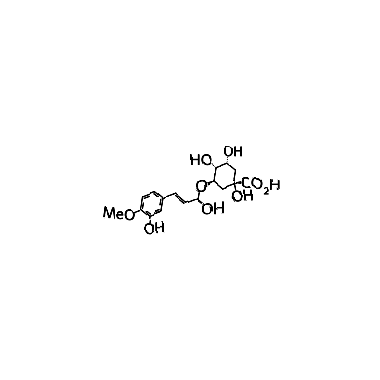 COc1ccc(/C=C/C(O)O[C@@H]2C[C@](O)(C(=O)O)C[C@@H](O)[C@H]2O)cc1O